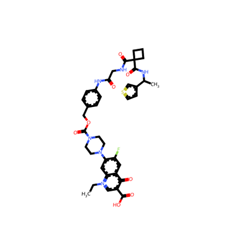 CCn1cc(C(=O)O)c(=O)c2cc(F)c(N3CCN(C(=O)OCc4ccc(NC(=O)CNC(=O)C5(C(=O)NC(C)c6ccsc6)CCC5)cc4)CC3)cc21